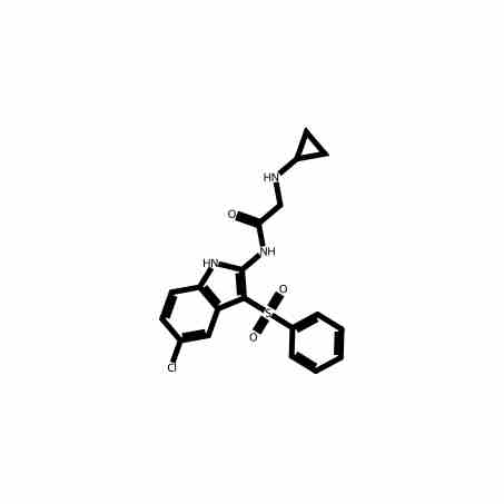 O=C(CNC1CC1)Nc1[nH]c2ccc(Cl)cc2c1S(=O)(=O)c1ccccc1